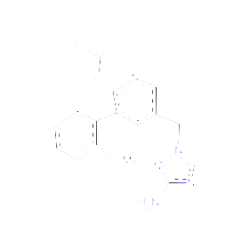 COc1ccccc1-c1cc(Cn2cnc(N)n2)cnc1OC(F)F